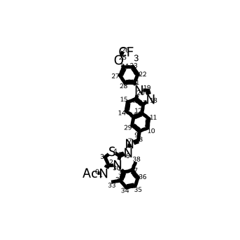 CC(=O)N=C1CSC(=NN=Cc2ccc3c(ccc4c3ncn4-c3ccc(OC(F)(F)F)cc3)c2)N1c1c(C)cccc1C